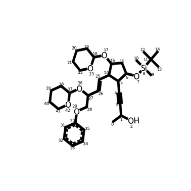 CC(O)C#CC1C(O[Si](C)(C)C(C)(C)C)CC(OC2CCCCO2)C1C=CC(COc1ccccc1)OC1CCCCO1